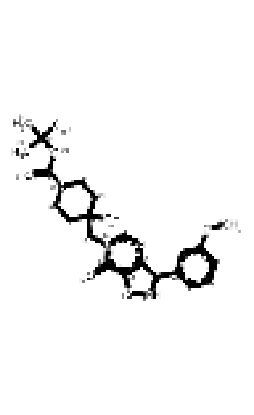 COc1cccc(C2NSc3c2ncn(CC2(O)CCN(C(=O)OC(C)(C)C)CC2)c3=O)c1